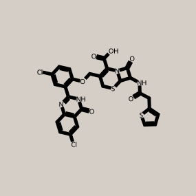 O=C(Cc1cccs1)NC1C(=O)N2C(C(=O)O)=C(COc3ccc(Cl)cc3-c3nc4ccc(Cl)cc4c(=O)[nH]3)CSC12